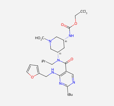 CC(C)CN(C(=O)c1cnc(C(C)(C)C)nc1NCc1ccco1)[C@H]1C[C@@H](NC(=O)OCC(Cl)(Cl)Cl)CN(C(=O)O)C1